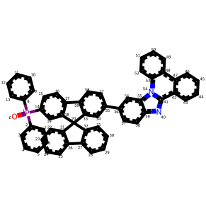 O=P(c1ccccc1)(c1ccccc1)c1ccc2c(c1)C1(c3ccccc3-c3ccccc31)c1cc(-c3ccc4nc5c6ccccc6c6ccccc6n5c4c3)ccc1-2